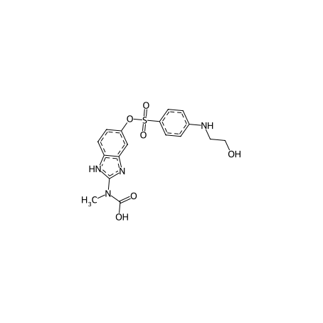 CN(C(=O)O)c1nc2cc(OS(=O)(=O)c3ccc(NCCO)cc3)ccc2[nH]1